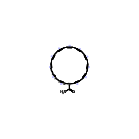 NC(=O)N1\C=C/C=C\C=C/C=C\C=C/C=C\C=C/C=C\C=N/N=N\N=N/1